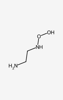 NCCNOO